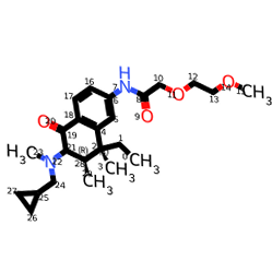 CC[C@@]1(C)c2cc(NC(=O)COCCOC)ccc2C(=O)C(N(C)CC2CC2)[C@@H]1C